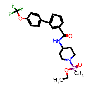 CCOP(C)(=O)N1CCC(NC(=O)c2cccc(-c3ccc(OC(F)(F)F)cc3)c2)CC1